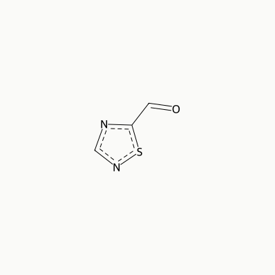 O=Cc1ncns1